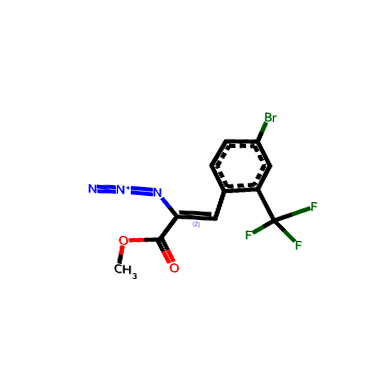 COC(=O)/C(=C/c1ccc(Br)cc1C(F)(F)F)N=[N+]=[N-]